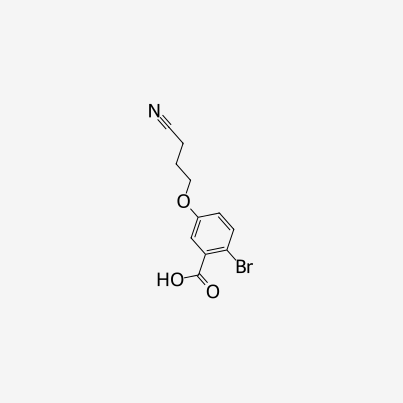 N#CCCCOc1ccc(Br)c(C(=O)O)c1